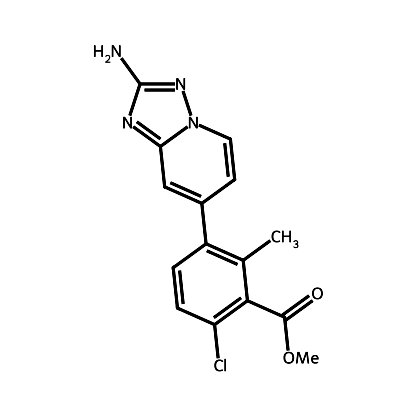 COC(=O)c1c(Cl)ccc(-c2ccn3nc(N)nc3c2)c1C